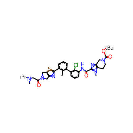 Cc1c(-c2nc3c(s2)CN(C(=O)CN(C)C(C)C)C3)cccc1-c1cccc(NC(=O)c2nc3c(n2C)CCN(C(=O)OC(C)(C)C)C3)c1Cl